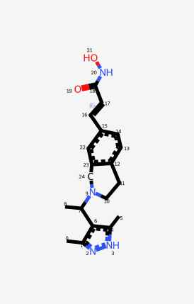 Cc1n[nH]c(C)c1C(C)N1CCc2ccc(/C=C/C(=O)NO)cc2C1